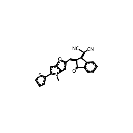 Cn1c(-c2cccs2)cc2oc(/C=C3\C(=O)c4ccccc4C3=C(C#N)C#N)cc21